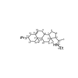 CCNC(C)C1CCC2C3CC=C4CC(C(C)C)CCC4(C)C3CCC12C